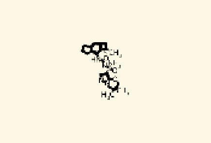 C[C@@H]1Cc2cc3c(c(NC(=O)N=S(N)(=O)c4cnn5c4OCC(C)(C)C5)c21)CCC3